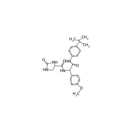 COc1ccc(C(NC(=O)C2CNC(=O)N2)C(=O)Nc2ccc(S(C)(C)C)cc2)cc1